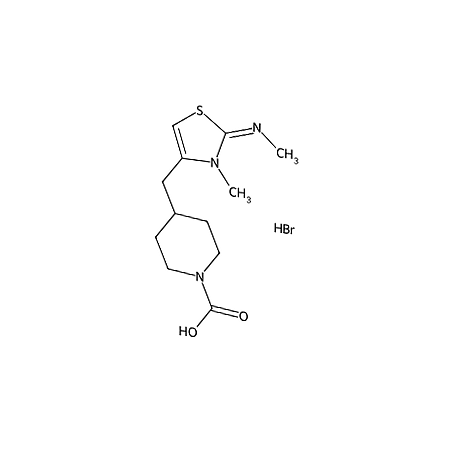 Br.CN=c1scc(CC2CCN(C(=O)O)CC2)n1C